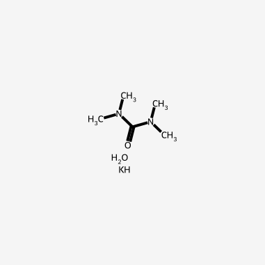 CN(C)C(=O)N(C)C.O.[KH]